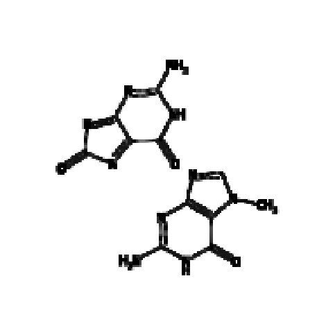 Cn1cnc2nc(N)[nH]c(=O)c21.Nc1nc2c(c(=O)[nH]1)=NC(=O)N=2